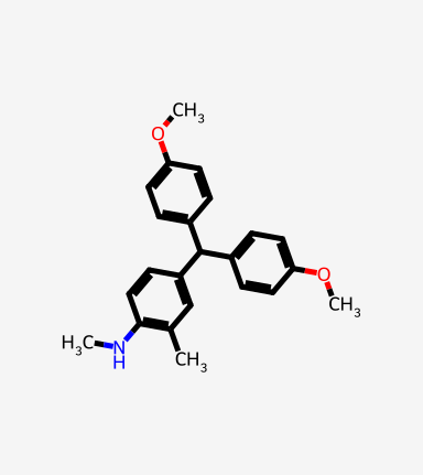 CNc1ccc(C(c2ccc(OC)cc2)c2ccc(OC)cc2)cc1C